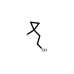 OCCC1(I)CC1